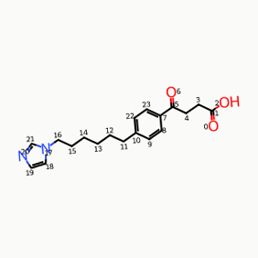 O=C(O)CCC(=O)c1ccc(CCCCCCn2ccnc2)cc1